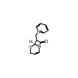 O=C1C(C[n+]2ccccc2)[C@@H]2SCC=CN12